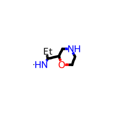 CCC([NH])C1CNCCO1